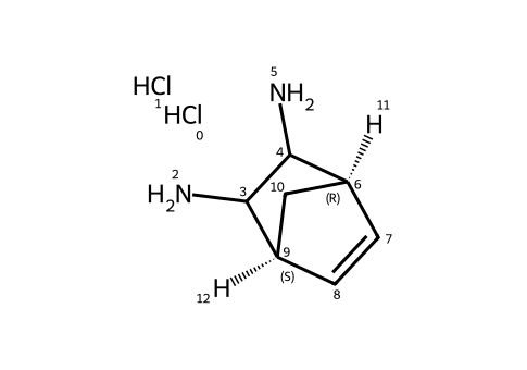 Cl.Cl.NC1C(N)[C@H]2C=C[C@@H]1C2